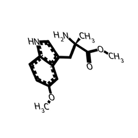 COC(=O)[C@@](C)(N)Cc1c[nH]c2ccc(OC)cc12